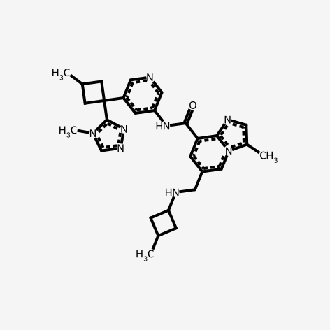 Cc1cnc2c(C(=O)Nc3cncc(C4(c5nncn5C)CC(C)C4)c3)cc(CNC3CC(C)C3)cn12